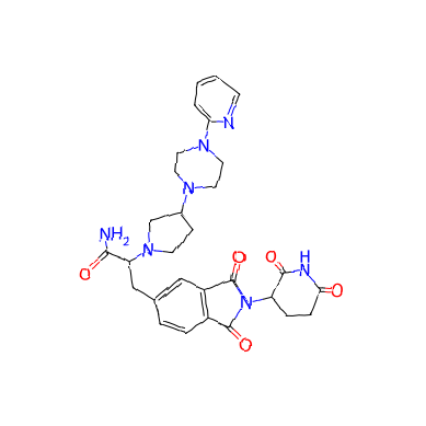 NC(=O)C(Cc1ccc2c(c1)C(=O)N(C1CCC(=O)NC1=O)C2=O)N1CCC(N2CCN(c3ccccn3)CC2)C1